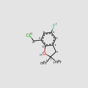 CCCC1(CCC)Cc2cc(F)cc(CCl)c2O1